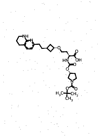 CC(C)(C)OC(=O)N1CC[C@@H](OC(=O)N[C@@H](CCO[C@H]2C[C@H](CCc3ccc4c(n3)NCCC4)C2)C(=O)O)C1